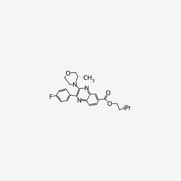 CC(C)CCOC(=O)c1ccc2nc(-c3ccc(F)cc3)c(N3CCOC[C@@H]3C)nc2c1